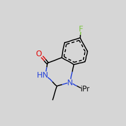 CC(C)N1c2ccc(F)cc2C(=O)NC1C